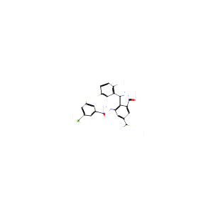 CSC(C)c1cc(NC(=O)c2cc(F)cc(C(F)(F)F)c2)c2c(c1)C(=O)NC2c1cc(F)ccc1Cl